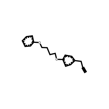 C#CCc1ccc(OCCCCOc2ccccc2)cc1